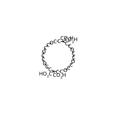 O=C(O)C1(C(=O)O)CCOCCOCCOCCC(C(=O)O)(C(=O)O)CCOCCOCCOCC1